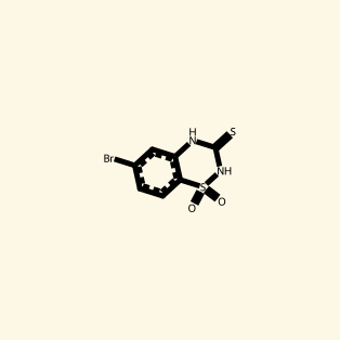 O=S1(=O)NC(=S)Nc2cc(Br)ccc21